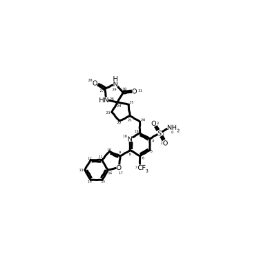 NS(=O)(=O)c1cc(C(F)(F)F)c(-c2cc3ccccc3o2)nc1CC1CCC2(C1)NC(=O)NC2=O